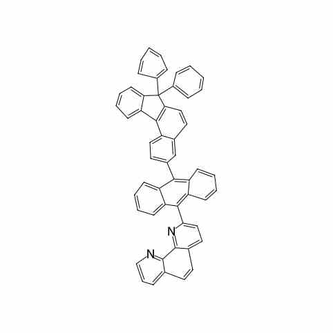 c1ccc(C2(c3ccccc3)c3ccccc3-c3c2ccc2cc(-c4c5ccccc5c(-c5ccc6ccc7cccnc7c6n5)c5ccccc45)ccc32)cc1